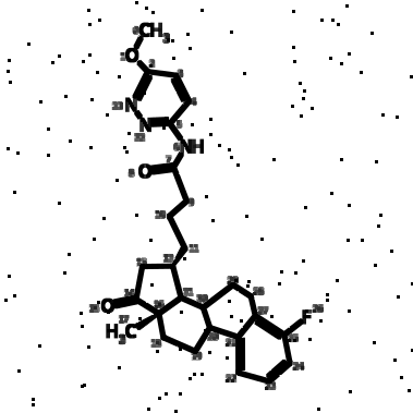 COc1ccc(NC(=O)CCC[C@@H]2CC(=O)[C@@]3(C)CCC4c5cccc(F)c5CCC4C23)nn1